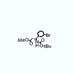 COC(=O)C[C@@H](NC(=O)OC(C)(C)C)c1cccc(Br)c1